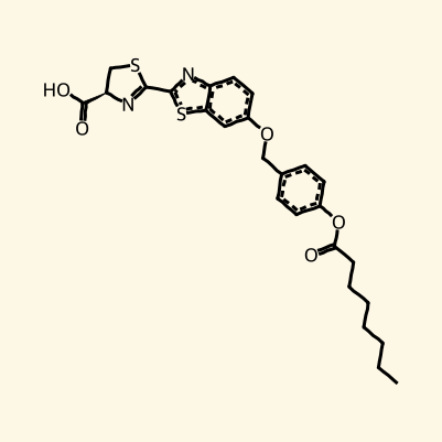 CCCCCCCC(=O)Oc1ccc(COc2ccc3nc(C4=N[C@@H](C(=O)O)CS4)sc3c2)cc1